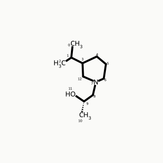 CC(C)C1CCCN(C[C@H](C)O)C1